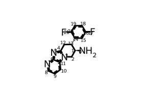 N[C@H]1Cn2c(nc3ncccc32)C[C@@H]1c1cc(F)ccc1F